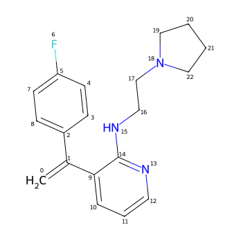 C=C(c1ccc(F)cc1)c1cccnc1NCCN1CCCC1